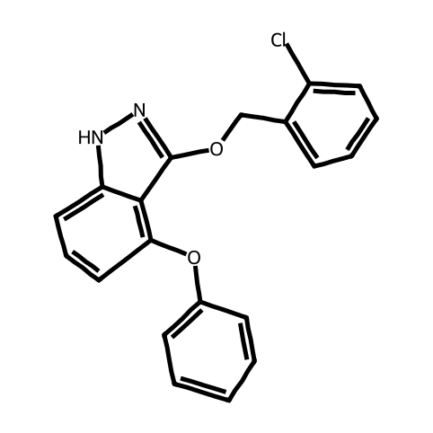 Clc1ccccc1COc1n[nH]c2cccc(Oc3ccccc3)c12